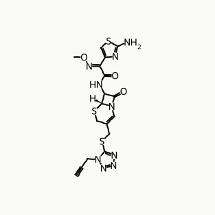 C#CCn1nnnc1SCC1=CN2C(=O)C(NC(=O)C(=NOC)c3csc(N)n3)[C@H]2SC1